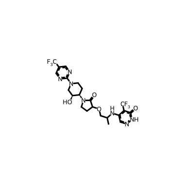 CC(COC1CCN([C@@H]2CCN(c3ncc(C(F)(F)F)cn3)C[C@@H]2O)C1=O)Nc1cn[nH]c(=O)c1C(F)(F)F